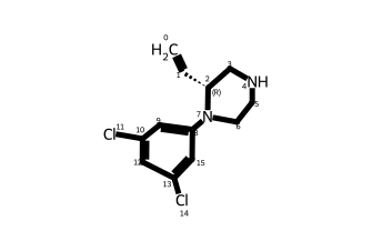 C=C[C@@H]1CNCCN1c1cc(Cl)cc(Cl)c1